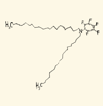 CCCCCCCCCCCCCCCCCCN(CCCCCCCCCCCCCCCCCC)c1c(F)c(F)c(F)c(F)c1F